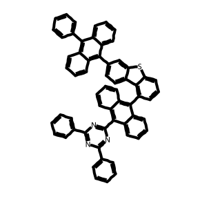 c1ccc(-c2nc(-c3ccccc3)nc(-c3c4ccccc4c(-c4cccc5sc6cc(-c7c8ccccc8c(-c8ccccc8)c8ccccc78)ccc6c45)c4ccccc34)n2)cc1